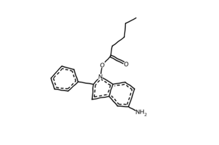 CCCCC(=O)On1c(-c2ccccc2)cc2cc(N)ccc21